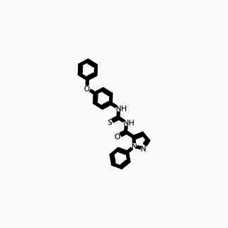 O=C(NC(=S)Nc1ccc(Oc2ccccc2)cc1)c1ccnn1-c1ccccc1